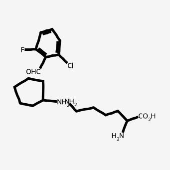 NC1CCCCC1.NCCCCC(N)C(=O)O.O=Cc1c(F)cccc1Cl